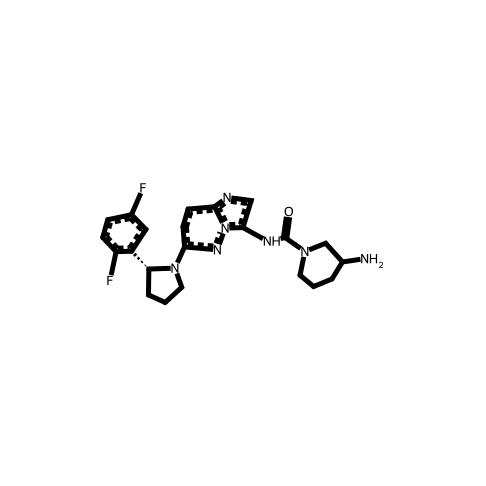 NC1CCCN(C(=O)Nc2cnc3ccc(N4CCC[C@@H]4c4cc(F)ccc4F)nn23)C1